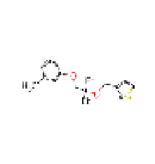 [CH2]c1cccc(OCC(CC)(CC)OCc2ccsc2)c1